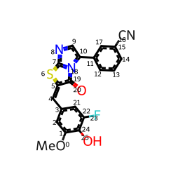 COc1cc(/C=c2/sc3ncc(-c4cccc(C#N)c4)n3c2=O)cc(F)c1O